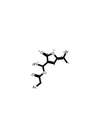 CCCC(OC(=O)CC(C)=O)C1=C/C(=C(\C)Br)OC1=O